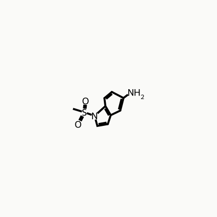 CS(=O)(=O)n1ccc2cc(N)ccc21